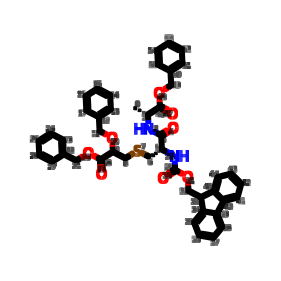 C[C@@H](NC(=O)[C@@H](CSCC(OCc1ccccc1)C(=O)OCc1ccccc1)NC(=O)OCC1c2ccccc2-c2ccccc21)C(=O)OCc1ccccc1